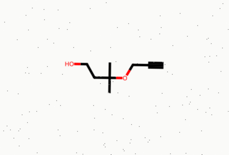 C#CCOC(C)(C)CCO